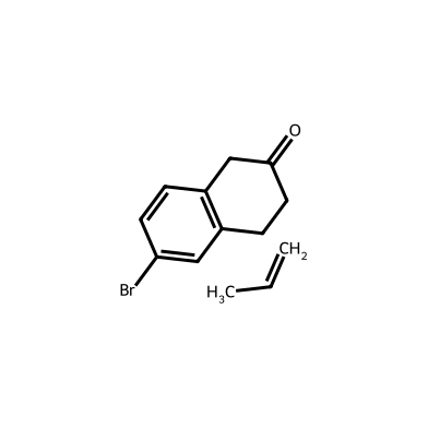 C=CC.O=C1CCc2cc(Br)ccc2C1